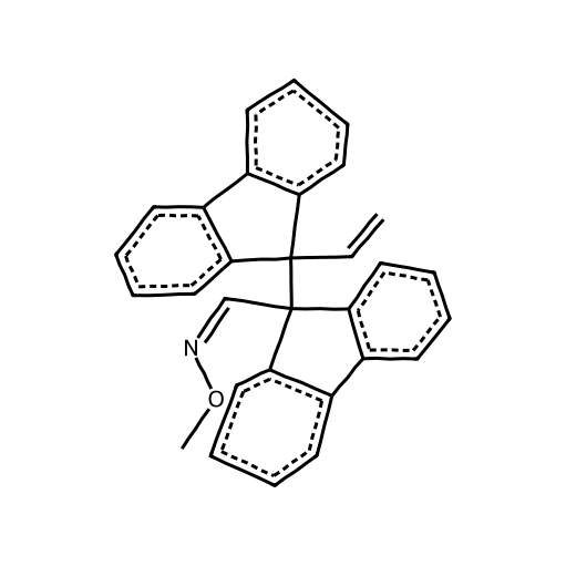 C=CC1(C2(/C=N\OC)c3ccccc3-c3ccccc32)c2ccccc2-c2ccccc21